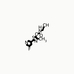 C#CCNC(=O)Oc1sc(-c2cncc(F)c2)nc1C